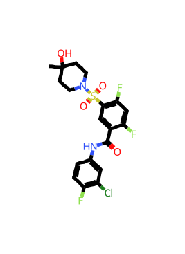 CC1(O)CCN(S(=O)(=O)c2cc(C(=O)Nc3ccc(F)c(Cl)c3)c(F)cc2F)CC1